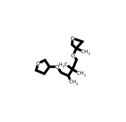 CC(COC1CCOC1)C(C)(C)COC1(C)COC1